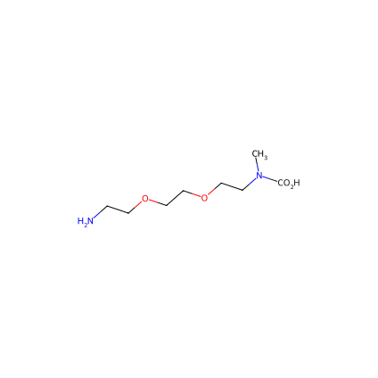 CN(CCOCCOCCN)C(=O)O